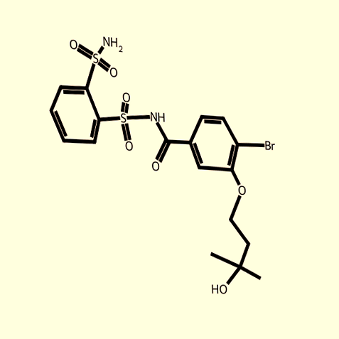 CC(C)(O)CCOc1cc(C(=O)NS(=O)(=O)c2ccccc2S(N)(=O)=O)ccc1Br